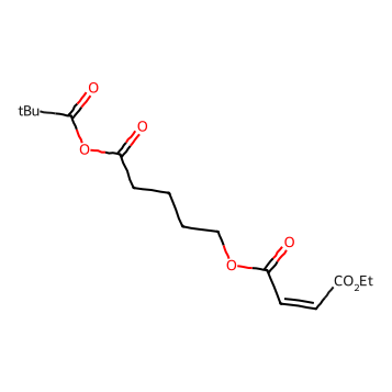 CCOC(=O)/C=C\C(=O)OCCCCC(=O)OC(=O)C(C)(C)C